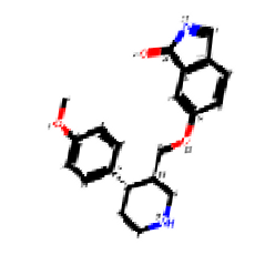 COc1ccc([C@H]2CCNC[C@@H]2COc2ccc3c(c2)C(=O)N=C3)cc1